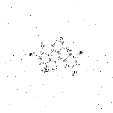 COCCN(c1ccccc1-c1cc(C)cc(C(C)(C)C)c1O)c1cc(C)cc(C(C)(C)C)c1O.[Zr]